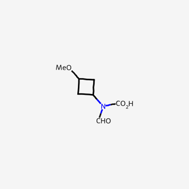 COC1CC(N(C=O)C(=O)O)C1